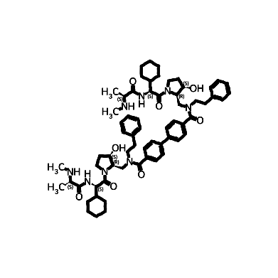 CN[C@@H](C)C(=O)N[C@H](C(=O)N1CC[C@H](O)[C@H]1CN(CCc1ccccc1)C(=O)c1ccc(-c2ccc(C(=O)N(CCc3ccccc3)C[C@@H]3[C@@H](O)CCN3C(=O)[C@@H](NC(=O)[C@H](C)NC)C3CCCCC3)cc2)cc1)C1CCCCC1